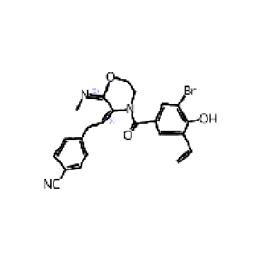 C=Cc1cc(C(=O)N2CCOC(=N/C)/C2=C\Cc2ccc(C#N)cc2)cc(Br)c1O